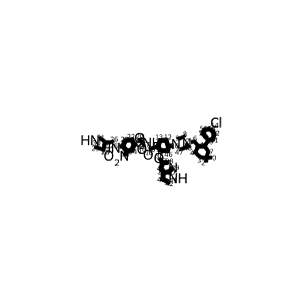 CC1(C)CCC(CN2CCN(c3ccc(C(=O)NS(=O)(=O)c4ccc(NCC5CCNC5)c([N+](=O)[O-])c4)c(Oc4cnc5[nH]ccc5c4)c3)CC2)=C(c2ccc(Cl)cc2)C1